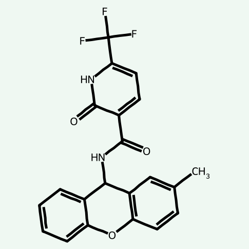 Cc1ccc2c(c1)C(NC(=O)c1ccc(C(F)(F)F)[nH]c1=O)c1ccccc1O2